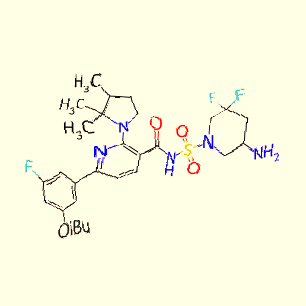 CC(C)COc1cc(F)cc(-c2ccc(C(=O)NS(=O)(=O)N3CC(N)CC(F)(F)C3)c(N3CCC(C)C3(C)C)n2)c1